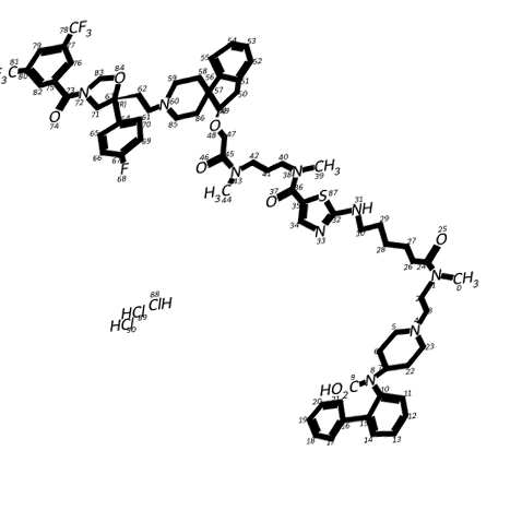 CN(CCN1CCC(N(C(=O)O)c2ccccc2-c2ccccc2)CC1)C(=O)CCCCCNc1ncc(C(=O)N(C)CCCN(C)C(=O)CO[C@H]2Cc3ccccc3C23CCN(CC[C@@]2(c4ccc(F)cc4)CN(C(=O)c4cc(C(F)(F)F)cc(C(F)(F)F)c4)CO2)CC3)s1.Cl.Cl.Cl